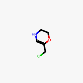 ClCC1=CNCCO1